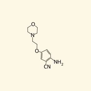 N#Cc1cc(OCCN2CCOCC2)ccc1N